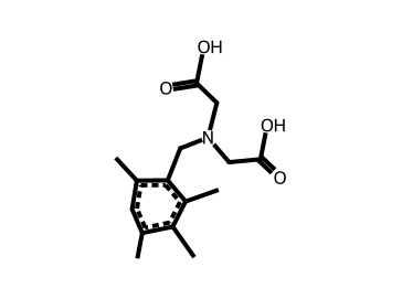 Cc1cc(C)c(CN(CC(=O)O)CC(=O)O)c(C)c1C